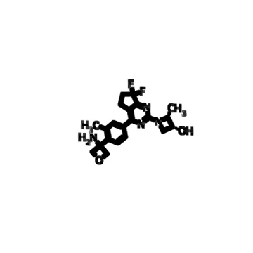 Cc1cc(-c2nc(N3C[C@@H](O)[C@@H]3C)nc3c2CCC3(F)F)ccc1C1(N)COC1